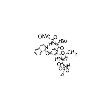 C=C[C@@H]1C[C@]1(NC(=O)[C@@H]1C[C@@H](Oc2nccc3ccccc23)CN1C(=O)[C@@H](NC(=O)COC)C(C)(C)C)C(=O)NS(=O)(=O)C1CC1